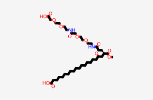 COC(=O)[C@H](CCC(=O)NCCOCCOCC(=O)NCCOCCOCC(=O)O)CC(=O)CCCCCCCCCCCCCCCCC(=O)O